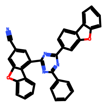 N#Cc1cc(-c2nc(-c3ccccc3)nc(-c3ccc4c(c3)oc3ccccc34)n2)c2c(c1)oc1ccccc12